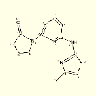 Cc1csc(Nc2cccc(N3CCCC3=O)n2)n1